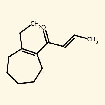 C/C=C/C(=O)C1=C(CC)CCCCC1